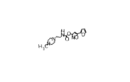 CN1CCN(CCNC(=O)Oc2cc(-c3ccco3)on2)CC1